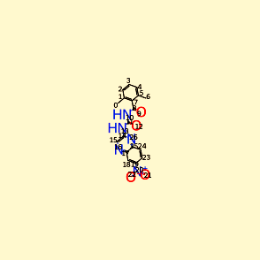 Cc1cccc(C)c1C(=O)NC(=O)Nc1cnc2cc([N+](=O)[O-])ccc2n1